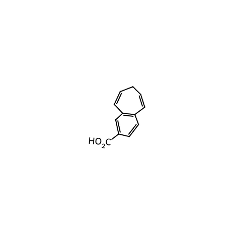 O=C(O)c1ccc2c(c1)C=CCC=C2